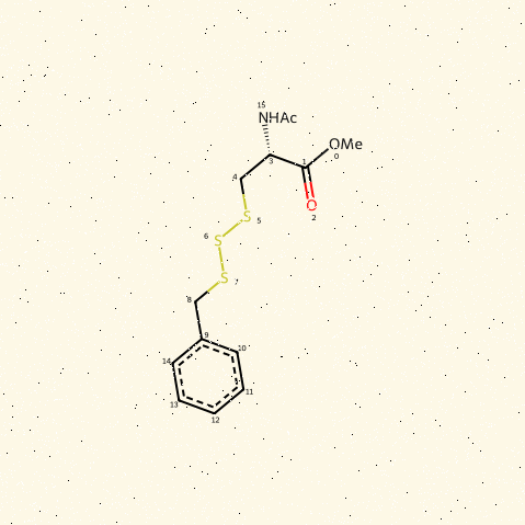 COC(=O)[C@H](CSSSCc1ccccc1)NC(C)=O